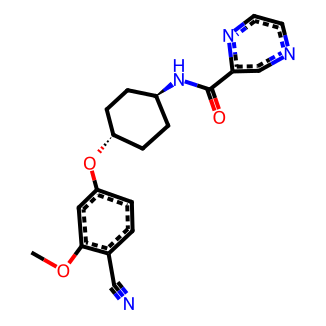 COc1cc(O[C@H]2CC[C@H](NC(=O)c3cnccn3)CC2)ccc1C#N